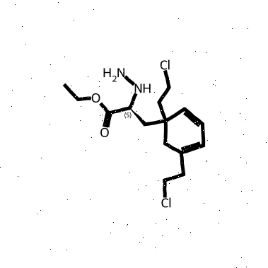 CCOC(=O)[C@H](CC1(CCCl)C=CC=C(CCCl)C1)NN